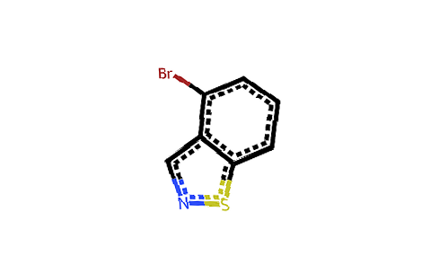 Brc1cccc2sncc12